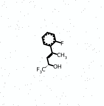 C/C(=C\[C@H](O)C(F)(F)F)c1ccccc1F